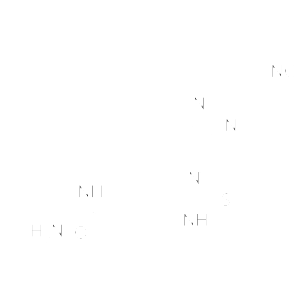 [C-]#[N+]c1ccn2c(-c3csc(Nc4ccc(C(=O)Nc5ccccc5N)cc4)n3)c(C)nc2c1